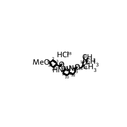 COc1ccc(C(=O)Nc2ccc3ccc(OCC(C)CN(C)C)nc3n2)cc1.Cl